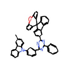 Cc1ccc2c(c1)c1ccccc1n2-c1cccc(-c2nc(-c3ccccc3)nc(-c3ccc4c(c3)-c3ccccc3C43c4ccccc4Oc4ccccc43)n2)c1